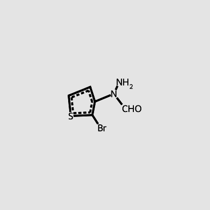 NN(C=O)c1ccsc1Br